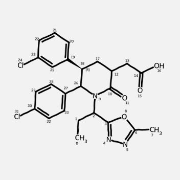 CCC(c1nnc(C)o1)N1C(=O)C(CC(=O)O)C[C@H](c2cccc(Cl)c2)C1c1ccc(Cl)cc1